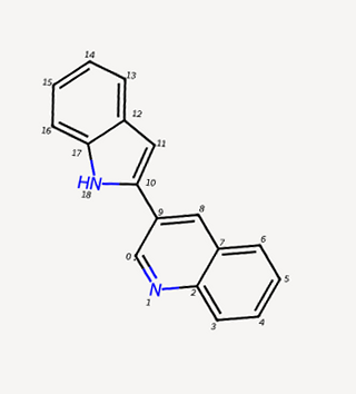 [c]1nc2ccccc2cc1-c1cc2ccccc2[nH]1